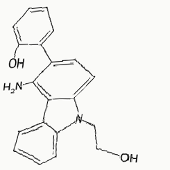 Nc1c(-c2ccccc2O)ccc2c1c1ccccc1n2CCO